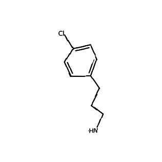 [NH]CCCc1ccc(Cl)cc1